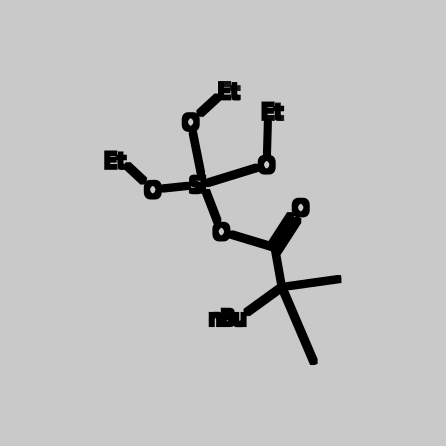 CCCCC(C)(C)C(=O)O[Si](OCC)(OCC)OCC